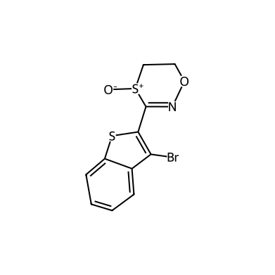 [O-][S+]1CCON=C1c1sc2ccccc2c1Br